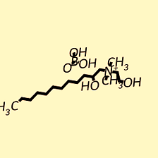 CCCCCCCCCCC(O)C[N+](C)(C)CCO.[O-]B(O)O